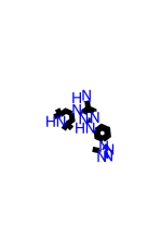 Cc1nnnn1-c1cccc(Nc2ncc(C#N)c(NC3CC(C)(C)NC(C)(C)C3)n2)c1